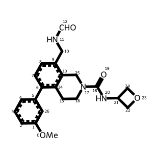 COc1cccc(-c2ccc(CNC=O)c3c2CCN(C(=O)NC2COC2)C3)c1